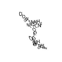 CC(C)C[C@H](NC(=O)CCNC(=O)OC(C)(C)C)C(=O)OC[CH]COc1ccc(-c2c(C#N)c(N)nc(SCc3coc(-c4ccc(Cl)cc4)n3)c2C#N)cc1